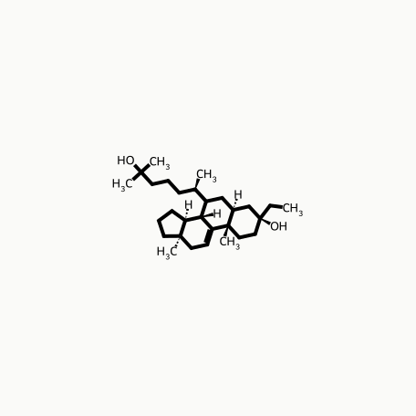 CC[C@]1(O)CC[C@]2(C)C3=CC[C@@]4(C)CCC[C@H]4[C@@H]3C([C@H](C)CCCC(C)(C)O)C[C@H]2C1